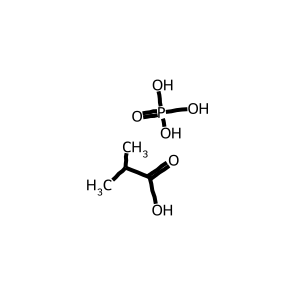 CC(C)C(=O)O.O=P(O)(O)O